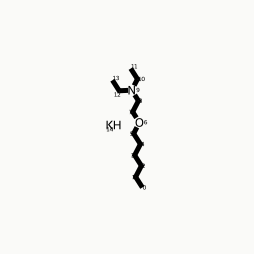 CCCCCCOCCN(CC)CC.[KH]